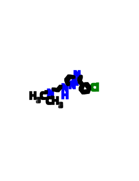 CCN(CC)CCCNc1ccc2ncc(-c3cccc(Cl)c3)n2n1